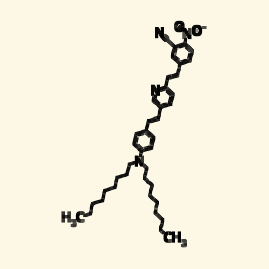 CCCCCCCCCN(CCCCCCCCC)c1ccc(C=Cc2ccc(C=Cc3ccc([N+](=O)[O-])c(C#N)c3)nc2)cc1